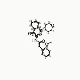 COc1ccccc1CC(=O)Nn1nc(N2CCOCC2)c2ccccc2c1=O